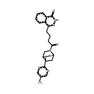 O=C(CCCc1n[nH]c(=O)c2ccccc12)N1CC2CCC1CN2c1ncc(C(F)(F)F)cn1